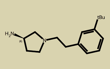 CC(C)(C)c1cccc(CCN2CC[C@@H](N)C2)c1